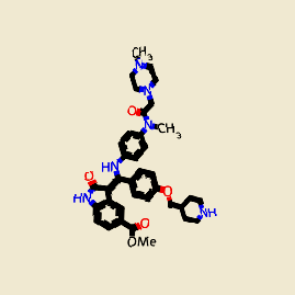 COC(=O)c1ccc2c(c1)/C(=C(/Nc1ccc(N(C)C(=O)CN3CCN(C)CC3)cc1)c1ccc(OCC3CCNCC3)cc1)C(=O)N2